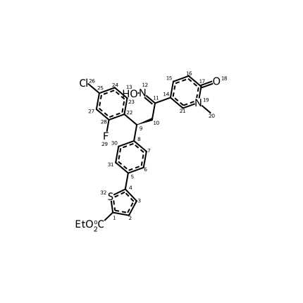 CCOC(=O)c1ccc(-c2ccc([C@H](C/C(=N\O)c3ccc(=O)n(C)c3)c3ccc(Cl)cc3F)cc2)s1